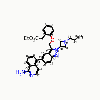 CCOC(=O)Cc1ccccc1OCc1c2cc(-c3cccc4c(N)nccc34)ccc2nn1C1CN(CCC(C)C)C1